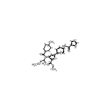 COCC(C)N(C(=O)C1CCC(C)CC1)c1cc(-c2ccc(NC(=O)c3cscn3)cc2)sc1C(=O)OC